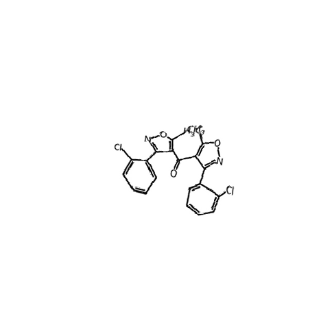 Cc1onc(-c2ccccc2Cl)c1C(=O)c1c(-c2ccccc2Cl)noc1C